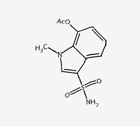 CC(=O)Oc1cccc2c(S(N)(=O)=O)cn(C)c12